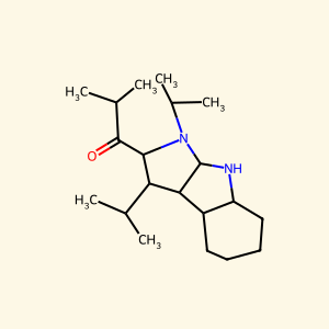 CC(C)C(=O)C1C(C(C)C)C2C3CCCCC3NC2N1C(C)C